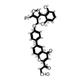 CC(C)c1onc(-c2c(Cl)cccc2Cl)c1COc1ccc(-c2ccc3oc(C(=O)CC=O)cc(=O)c3c2)cc1